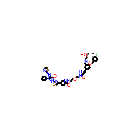 O=C(C#Cc1ccc(OCc2ccc(F)c(C(F)(F)F)c2)c(CNCCO)c1)NCCOCCNC(=O)c1ccc(-c2csc(N3N=C(c4ccccc4)/C(=N\Nc4nccs4)C3=O)n2)cc1